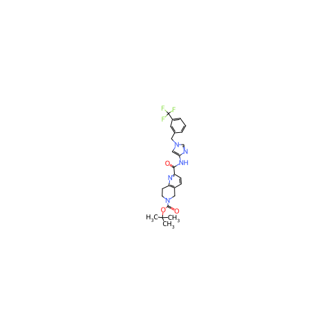 CC(C)(C)OC(=O)N1CCc2nc(C(=O)Nc3cn(Cc4cccc(C(F)(F)F)c4)cn3)ccc2C1